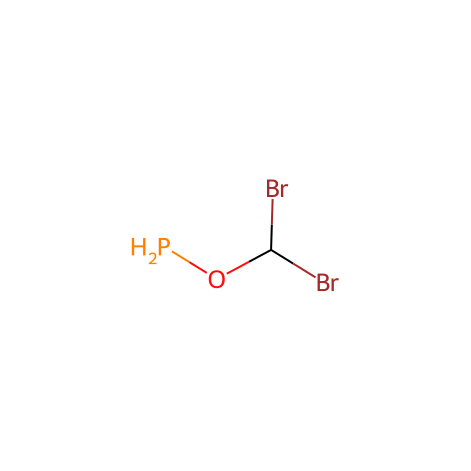 POC(Br)Br